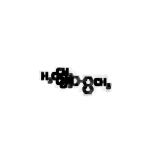 Cc1ccc(C2CCN(C(=O)OC(C)(C)C)CC2)c2ccccc12